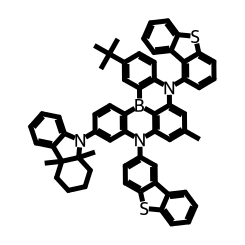 Cc1cc2c3c(c1)N(c1cccc4sc5ccccc5c14)c1ccc(C(C)(C)C)cc1B3c1ccc(N3c4ccccc4C4(C)CCCCC34C)cc1N2c1ccc2sc3ccccc3c2c1